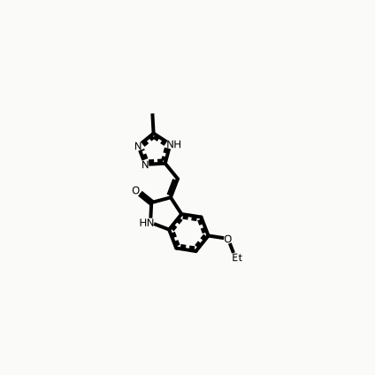 CCOc1ccc2c(c1)/C(=C/c1nnc(C)[nH]1)C(=O)N2